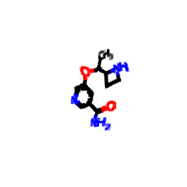 CC(Oc1cncc(C(N)=O)c1)[C@@H]1CCN1